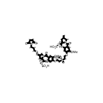 C=C1C[C@H]2C(OS(=O)(=O)O)Nc3cc(OCCP(=O)(CCOc4cc5c(cc4OC)C(=O)N4CC(=NOCCCN6C(=O)C=CC6=O)C[C@H]4C(OS(=O)(=O)O)N5)OCC)c(OC)cc3C(=O)N2C1